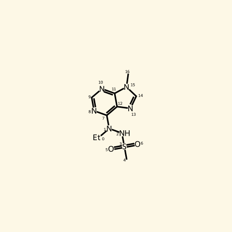 CCN(NS(C)(=O)=O)c1ncnc2c1ncn2C